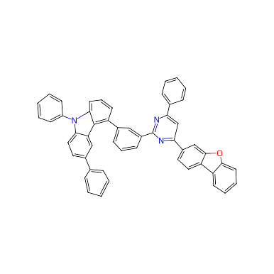 c1ccc(-c2ccc3c(c2)c2c(-c4cccc(-c5nc(-c6ccccc6)cc(-c6ccc7c(c6)oc6ccccc67)n5)c4)cccc2n3-c2ccccc2)cc1